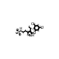 CCc1c(CCNS(C)(=O)=O)n[nH]c1Oc1cc(Cl)cc(Cl)c1